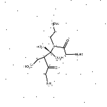 CCCCCCCCCCCCN(C(=O)CCCCCCCCCCC)[C@](CCCCCCCC)(C(=O)O)C(CC(=O)O)C(=O)CN